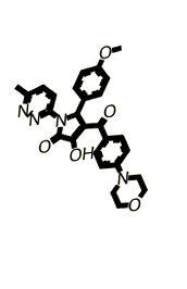 COc1ccc(C2C(C(=O)c3ccc(N4CCOCC4)cc3)=C(O)C(=O)N2c2ccc(C)nn2)cc1